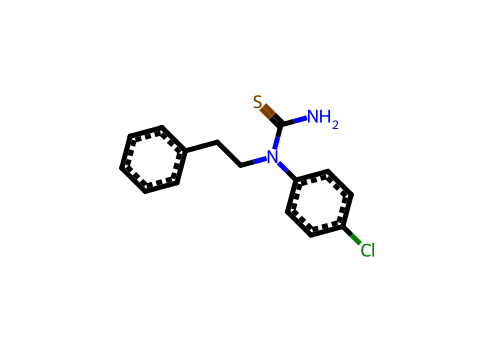 NC(=S)N(CCc1ccccc1)c1ccc(Cl)cc1